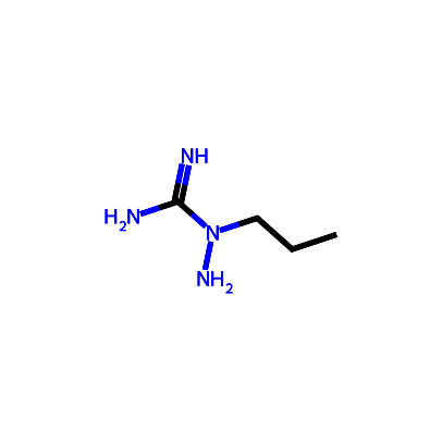 CCCN(N)C(=N)N